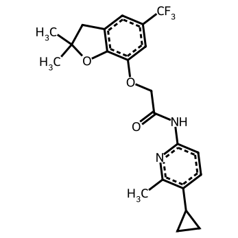 Cc1nc(NC(=O)COc2cc(C(F)(F)F)cc3c2OC(C)(C)C3)ccc1C1CC1